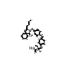 CCCCC1=NC2(CCCCC2)C(=O)N1Cc1ccc(Oc2ccc(OC(C)(C)C(=O)O)cc2)cc1